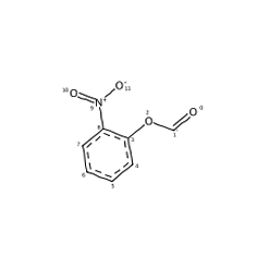 O=[C]Oc1ccccc1[N+](=O)[O-]